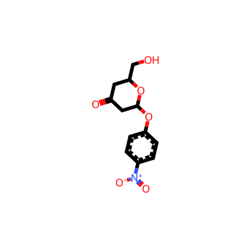 O=C1CC(CO)OC(Oc2ccc([N+](=O)[O-])cc2)C1